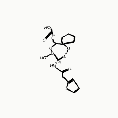 O=C(O)CC1OB(O)[C@@H](NC(=O)Cc2cccs2)COC12CCCC2